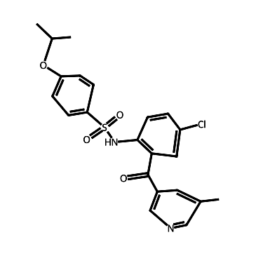 Cc1cncc(C(=O)c2cc(Cl)ccc2NS(=O)(=O)c2ccc(OC(C)C)cc2)c1